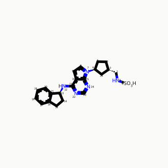 O=S(=O)(O)NC[C@H]1CC[C@H](n2ccc3c(N[C@H]4CCc5ccccc54)ncnc32)C1